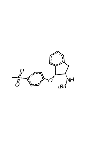 CC(C)(C)N[C@H]1Cc2ccccc2[C@@H]1Oc1ccc(S(C)(=O)=O)cc1